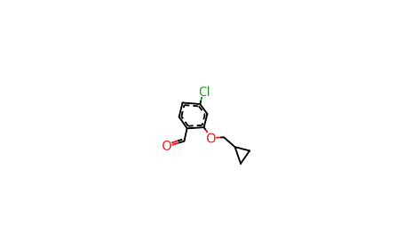 O=Cc1ccc(Cl)cc1OCC1CC1